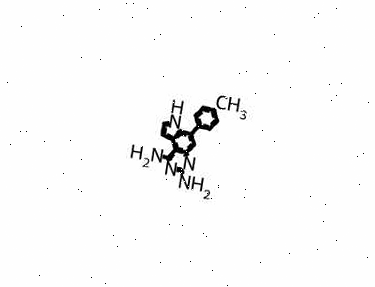 Cc1ccc(-c2cc3nc(N)nc(N)c3c3cc[nH]c23)cc1